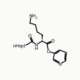 CCCCCCCC(=O)N[C@@H](CCCCN)C(=O)Oc1cccnc1